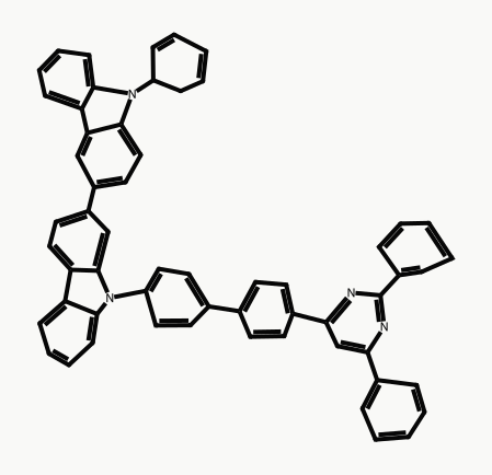 C1=CCC(n2c3ccccc3c3cc(-c4ccc5c6ccccc6n(-c6ccc(-c7ccc(-c8cc(-c9ccccc9)nc(-c9ccccc9)n8)cc7)cc6)c5c4)ccc32)C=C1